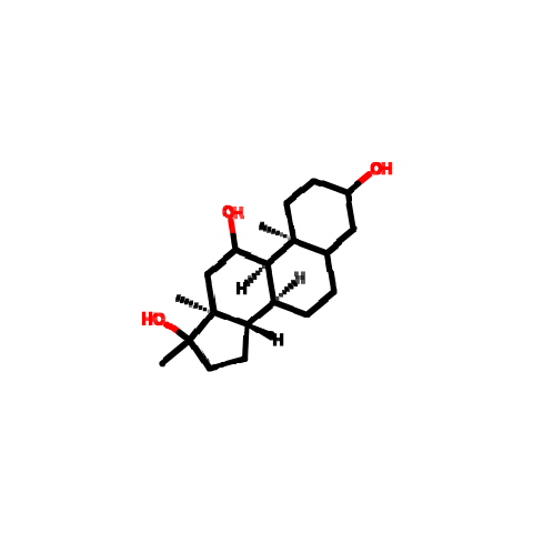 CC1(O)CC[C@H]2[C@@H]3CCC4CC(O)CC[C@]4(C)[C@@H]3C(O)C[C@@]21C